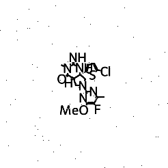 COc1nc(N2C[C@H]3C(=O)N(C)C(=N)N[C@@]3(c3ccc(Cl)s3)C2)nc(C)c1F